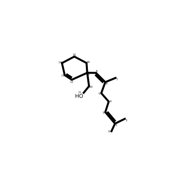 CC(C)=CCCC(C)=CC1(CO)C=CCCC1